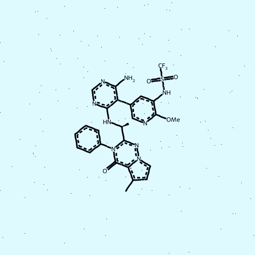 COc1ncc(-c2c(N)ncnc2N[C@@H](C)c2nn3ccc(C)c3c(=O)n2-c2ccccc2)cc1NS(=O)(=O)C(F)(F)F